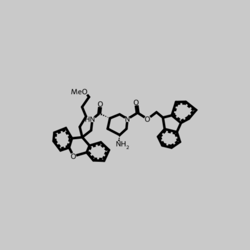 COCCCCC1(CNC(=O)[C@H]2C[C@@H](N)CN(C(=O)OCC3c4ccccc4-c4ccccc43)C2)c2ccccc2Oc2ccccc21